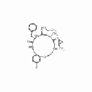 CC(O)[C@H]1C(=O)N[C@H](Cc2ccccc2)C(=O)NCc2ccc(F)cc2OCCN[C@@H](C2(C)CC2)C(=O)N1C